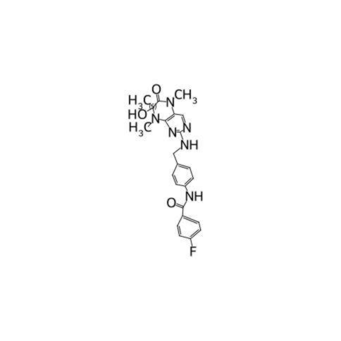 CN1C(=O)[C@](C)(O)N(C)c2nc(NCc3ccc(NC(=O)c4ccc(F)cc4)cc3)ncc21